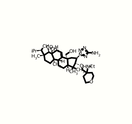 CCNC1(CO[C@H]2[C@H](n3nnc(N)n3)C[C@]3(CO)C4=CC[C@@]5(C)[C@H](C(=O)O)[C@@](C)([C@H](C)C(C)C)CC[C@]5(C)[C@H]4CC[C@H]3C2(C)C)CCOCC1